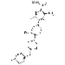 CC[C@H]1CN(c2nc(N)c(C(=O)NC)nc2Cl)CCN1C1CCN(Cc2ccc(C)cc2)CC1